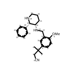 COc1ccc(C(C)(C)CC#N)cc1CN[C@H]1CCCN[C@H]1c1ccccc1